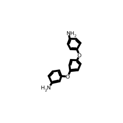 Nc1ccc(Oc2ccc(Oc3cccc(N)c3)cc2)cc1